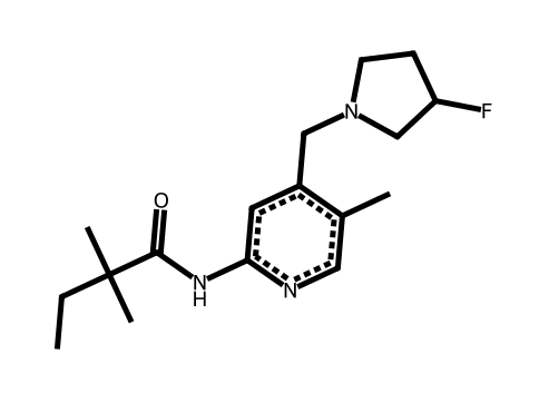 CCC(C)(C)C(=O)Nc1cc(CN2CCC(F)C2)c(C)cn1